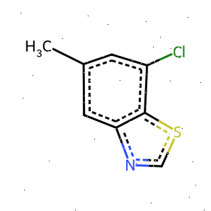 Cc1cc(Cl)c2scnc2c1